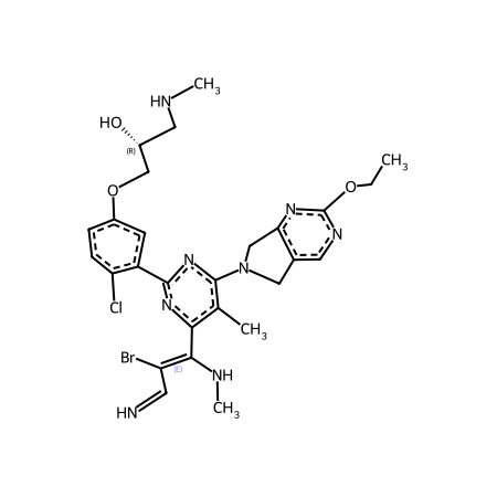 CCOc1ncc2c(n1)CN(c1nc(-c3cc(OC[C@H](O)CNC)ccc3Cl)nc(/C(NC)=C(\Br)C=N)c1C)C2